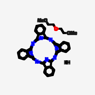 COCCOCCOC.[KH].c1ccc2c(c1)-c1nc-2nc2[nH]c(nc3nc(nc4[nH]c(n1)c1ccccc41)-c1ccccc1-3)c1ccccc21